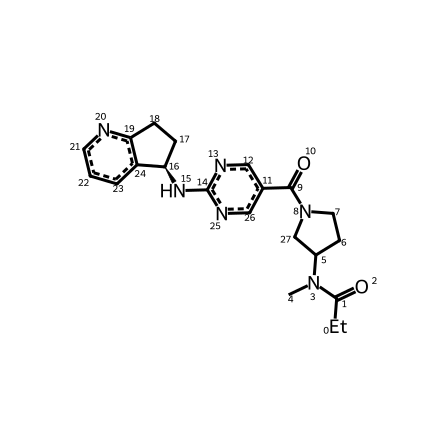 CCC(=O)N(C)C1CCN(C(=O)c2cnc(N[C@@H]3CCc4ncccc43)nc2)C1